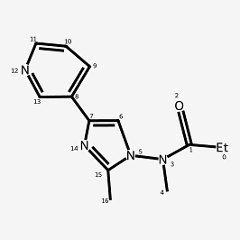 CCC(=O)N(C)n1cc(-c2cccnc2)nc1C